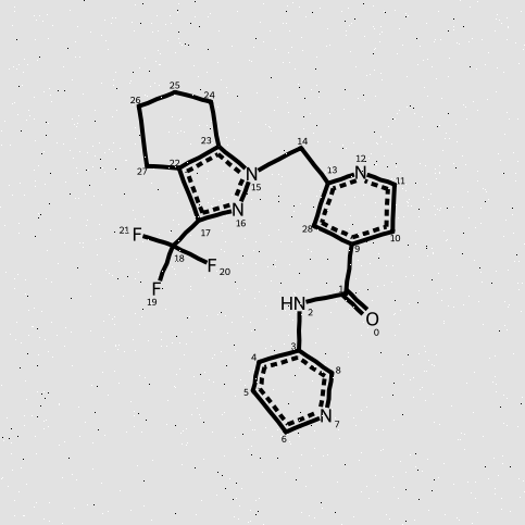 O=C(Nc1cccnc1)c1ccnc(Cn2nc(C(F)(F)F)c3c2CCCC3)c1